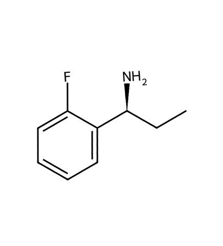 CC[C@H](N)c1ccccc1F